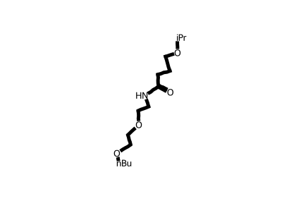 CCCCOCCOCCNC(=O)CCCOC(C)C